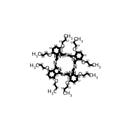 CCCOc1ccc(OCCC)c2c1-c1nc-2nc2[nH]c(nc3nc(nc4[nH]c(n1)c1c(OCCC)ccc(OCCC)c41)-c1c(OCCC)ccc(OCCC)c1-3)c1c(OCCC)ccc(OCCC)c21